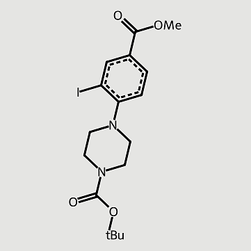 COC(=O)c1ccc(N2CCN(C(=O)OC(C)(C)C)CC2)c(I)c1